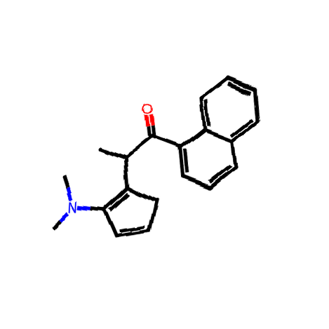 CC(C(=O)c1cccc2ccccc12)C1=C(N(C)C)C=CC1